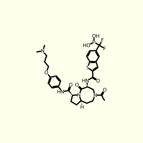 CC(=O)N1CC[C@H]2CC[C@@H](C(=O)Nc3ccc(OCCCN(C)C)cc3)N2C(=O)[C@@H](NC(=O)c2cc3cc(C(F)(F)P(O)O)ccc3s2)C1